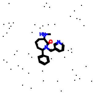 CNC1CCCC(c2ccccc2)N(Cc2cccnc2)C1=O